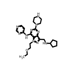 CCOCCn1nc(CNC2CCCC2)c2nc(N3CCNCC3)nc(Nc3ccncn3)c21